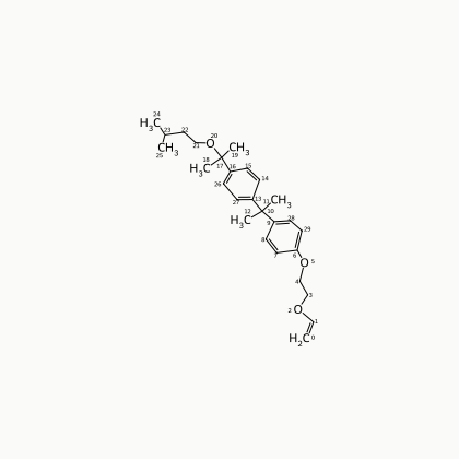 C=COCCOc1ccc(C(C)(C)c2ccc(C(C)(C)OCCC(C)C)cc2)cc1